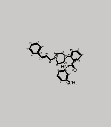 Cc1cccc(NC(=O)c2ccccc2N2CCN(CC=Cc3ccccc3)CC2)c1